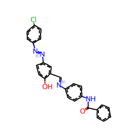 O=C(Nc1ccc(/N=C/c2cc(/N=N/c3ccc(Cl)cc3)ccc2O)cc1)c1ccccc1